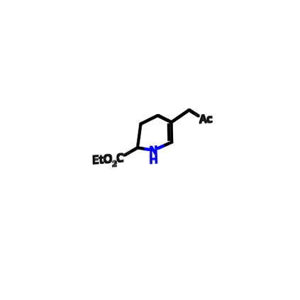 CCOC(=O)C1CCC(CC(C)=O)=CN1